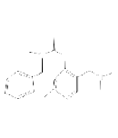 CC(Oc1cc(Cl)ccc1CN(C)C)N(C)Cc1ccccc1